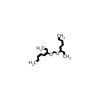 C=C/C=C\C=C(/C=C)OCO/C(C=C)=C/C=C\C=C